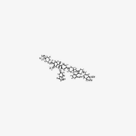 COc1ccc(CN2CCN(C3CC4(CCN(c5ccc(S(=O)(=O)c6ccc(NC[C@H]7CC[C@](C)(O)CC7)c(N)c6)c(Oc6cnc7[nH]cc(F)c7c6)c5)CC4)C3)[C@H](c3ccccc3C(C)C)C2)cc1OC